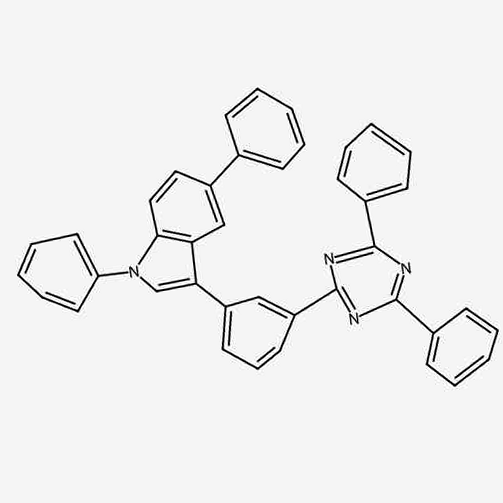 c1ccc(-c2ccc3c(c2)c(-c2cccc(-c4nc(-c5ccccc5)nc(-c5ccccc5)n4)c2)cn3-c2ccccc2)cc1